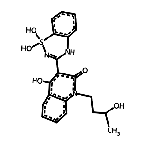 CC(O)CCn1c(=O)c(C2=NS(O)(O)c3ccccc3N2)c(O)c2ccccc21